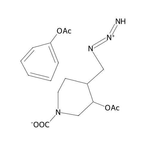 CC(=O)OC1CN(C(=O)[O-])CCC1CN=[N+]=N.CC(=O)Oc1ccccc1